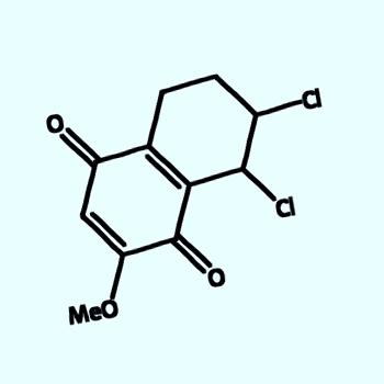 COC1=CC(=O)C2=C(C1=O)C(Cl)C(Cl)CC2